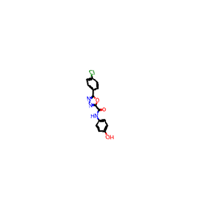 O=C(Nc1ccc(O)cc1)c1nnc(-c2ccc(Cl)cc2)o1